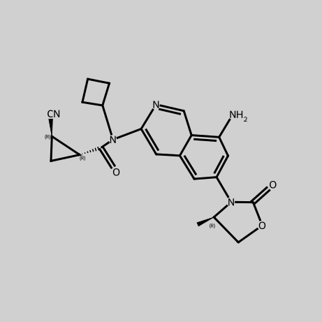 C[C@@H]1COC(=O)N1c1cc(N)c2cnc(N(C(=O)[C@@H]3C[C@H]3C#N)C3CCC3)cc2c1